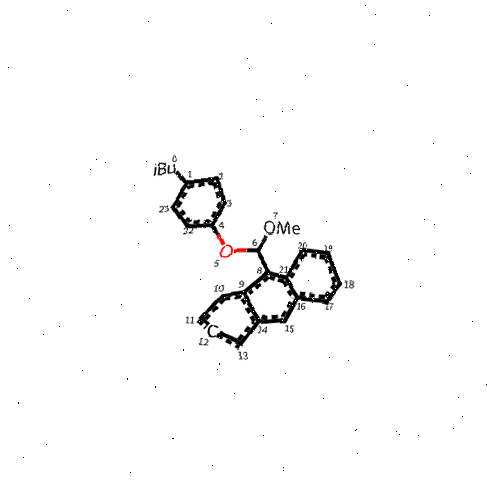 CCC(C)c1ccc(OC(OC)c2c3ccccc3cc3ccccc23)cc1